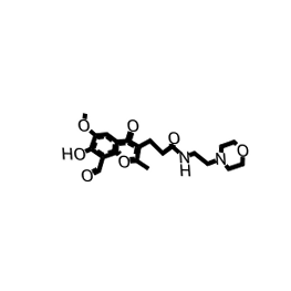 COc1cc2c(=O)c(CCC(=O)NCCN3CCOCC3)c(C)oc2c(C=O)c1O